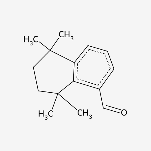 CC1(C)CCC(C)(C)c2c(C=O)cccc21